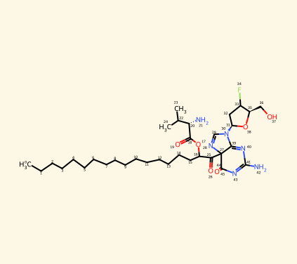 CCCCCCCCCCCCCCCCC(OC(=O)[C@@H](N)C(C)C)C(=O)C12N=CN([C@H]3CC(F)[C@@H](CO)O3)C1=NC(N)=NC2=O